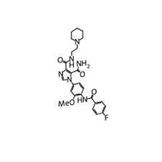 COc1cc(-n2cnc(C(=O)NCCN3CCCCC3)c2C(N)=O)ccc1NC(=O)c1ccc(F)cc1